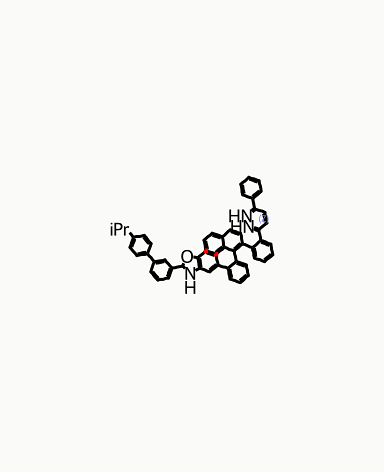 CC(C)c1ccc(-c2cccc(C3Nc4cc(-c5ccccc5-c5c(-c6ccccc6C(=N)/C=C\C(=N)c6ccccc6)ccc6ccccc56)ccc4O3)c2)cc1